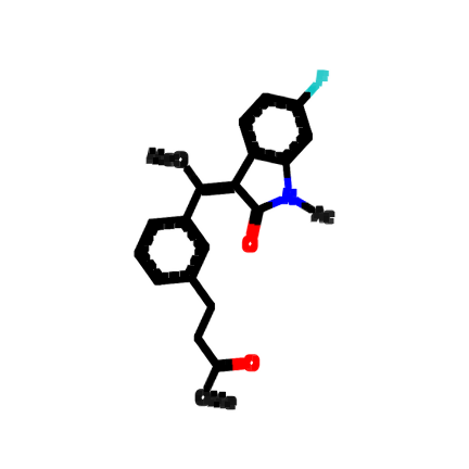 COC(=O)CCc1cccc(/C(OC)=C2\C(=O)N(C(C)=O)c3cc(F)ccc32)c1